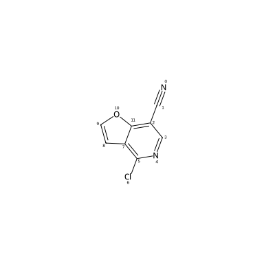 N#Cc1cnc(Cl)c2ccoc12